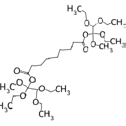 CCOC(OCC)C(OC)(OCC)OC(=O)CCCCCCCC(=O)OC(OC)(OCC)C(OCC)OCC